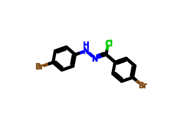 ClC(=NNc1ccc(Br)cc1)c1ccc(Br)cc1